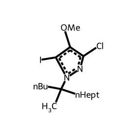 CCCCCCCC(C)(CCCC)n1nc(Cl)c(OC)c1I